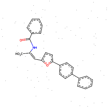 O=C(O)C(=Cc1ccc(-c2ccc(-c3ccccc3)cc2)o1)NC(=O)c1ccccc1